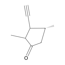 C#CC1C(C)C(=O)C[C@H]1C